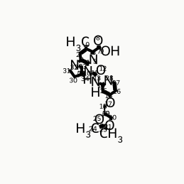 Cc1cc2c(nc1C(=O)O)N(C(=O)Nc1cc(OC[C@H]3COC(C)(C)O3)ccn1)[C@H]1CCN2C1